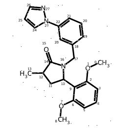 COc1cccc(OC)c1C1CC(C)C(=O)N1Cc1cccc(-n2cccn2)c1